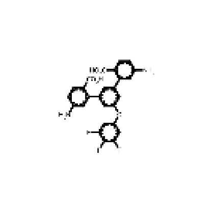 Nc1ccc(C(=O)O)c(-c2cc(Oc3cc(F)c(F)c(F)c3)cc(-c3cc(N)ccc3C(=O)O)c2)c1